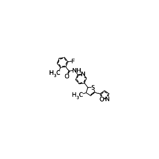 Cc1cccc(F)c1C(=O)Nc1ccc(C2SC(c3ccno3)=CC2C)cn1